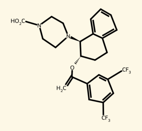 C=C(O[C@H]1CCc2ccccc2[C@@H]1N1CCN(C(=O)O)CC1)c1cc(C(F)(F)F)cc(C(F)(F)F)c1